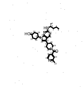 CCC[C@H](C)Nc1ncc2c(C3CCN(C(=O)c4ccnc(C)c4)CC3)cn(C3CCC(O)CC3)c2n1